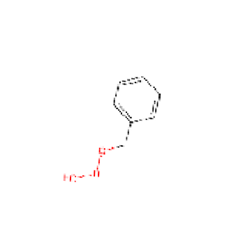 OOOCc1ccccc1